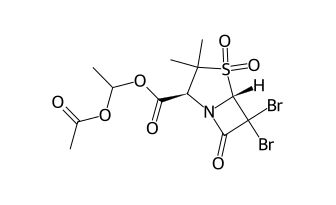 CC(=O)OC(C)OC(=O)[C@@H]1N2C(=O)C(Br)(Br)[C@H]2S(=O)(=O)C1(C)C